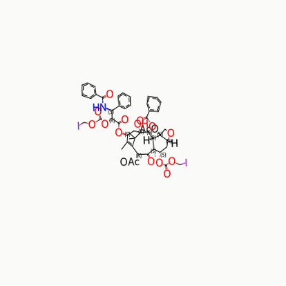 CC(=O)O[C@H]1C(=O)[C@]2(C)[C@@H](OC(=O)OCI)C[C@H]3OC[C@@]3(OC(C)=O)[C@H]2[C@H](OC(=O)c2ccccc2)[C@]2(O)C[C@H](OC(=O)[C@H](OC(=O)OCI)[C@@H](NC(=O)c3ccccc3)c3ccccc3)C(C)=C1C2(C)C